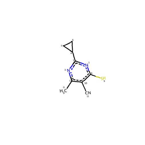 Cc1nc(C2CC2)nc(S)c1C#N